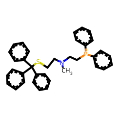 CN(CCSC(c1ccccc1)(c1ccccc1)c1ccccc1)CCP(c1ccccc1)c1ccccc1